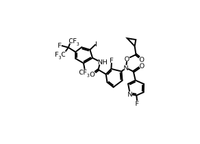 O=C(Nc1c(I)cc(C(F)(C(F)(F)F)C(F)(F)F)cc1C(F)(F)F)c1cccc(N(OC(=O)C2CC2)C(=O)c2ccc(F)nc2)c1F